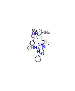 C=C/N=C1/C=NC(N2CCCCCC2)=N/C1=C(/N)Nc1cc(C(=O)NC(=N)/C=C(\OC)C(C)(C)C)ccc1Cl